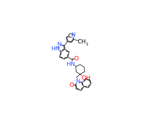 Cc1cc(-c2n[nH]c3ccc(C(=O)NC4CCCC(O)(Cn5c(=O)ccc6ccccc65)C4)cc23)ccn1